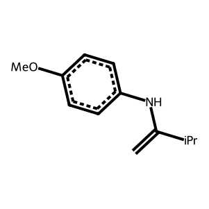 C=C(Nc1ccc(OC)cc1)C(C)C